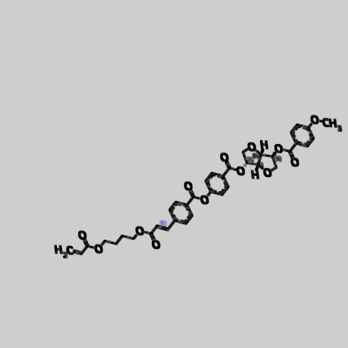 C=CC(=O)OCCCCOC(=O)/C=C/c1ccc(C(=O)Oc2ccc(C(=O)O[C@@H]3CO[C@H]4[C@@H]3OC[C@@H]4OC(=O)c3ccc(OC)cc3)cc2)cc1